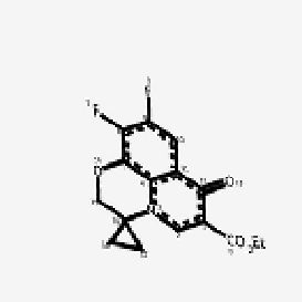 CCOC(=O)c1cn2c3c(c(F)c(F)cc3c1=O)OCC21CC1